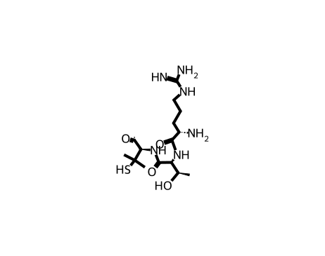 C[C@@H](O)[C@H](NC(=O)[C@@H](N)CCCNC(=N)N)C(=O)N[C@H]([C]=O)C(C)(C)S